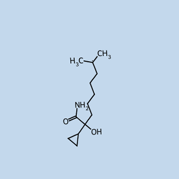 C[C](C)CCCCCC(O)(C(N)=O)C1CC1